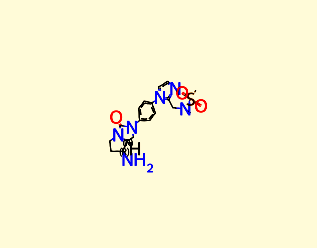 CN(Cc1nccn1-c1ccc(N2C[C@@H]3[C@H](N)CCN3C2=O)cc1)S(C)(=O)=O